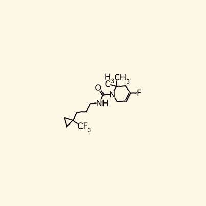 CC1(C)CC(F)=CCN1C(=O)NCCCC1(C(F)(F)F)CC1